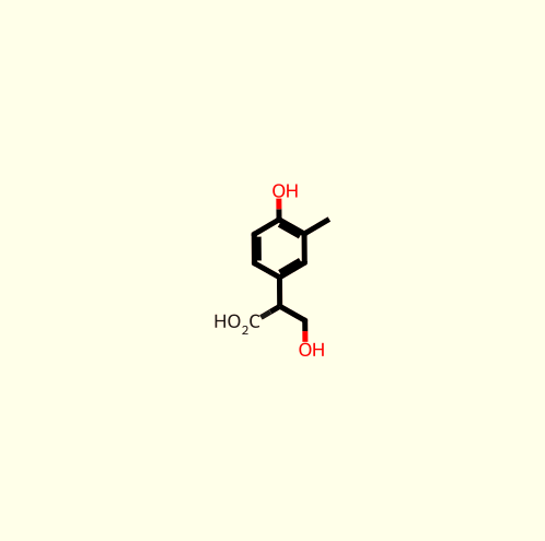 Cc1cc(C(CO)C(=O)O)ccc1O